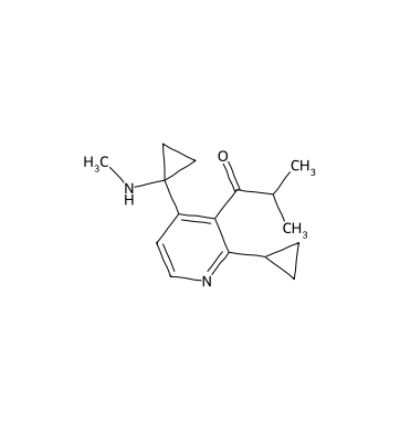 CNC1(c2ccnc(C3CC3)c2C(=O)C(C)C)CC1